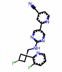 N#Cc1ccnc(-c2cnc(NC[C@]3(c4ncccc4F)C[C@H](F)C3)nc2)c1